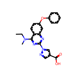 CCN(C)c1nc(-n2cc(C(=O)O)cn2)nc2cc(Oc3ccccc3)ccc12